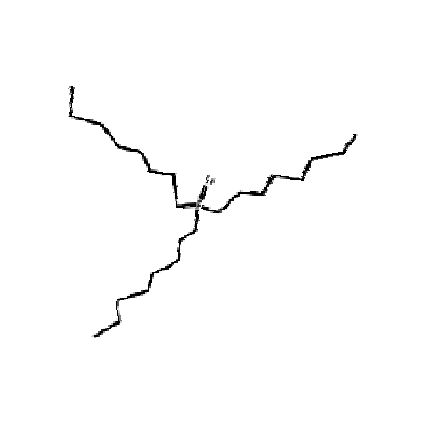 CCCCCCCCP(=[Se])(CCCCCCCC)CCCCCCCC